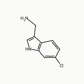 NCc1c[nH]c2cc(Cl)ccc12